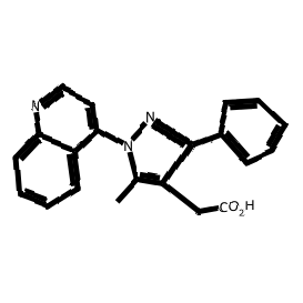 Cc1c(CC(=O)O)c(-c2ccccc2)nn1-c1ccnc2ccccc12